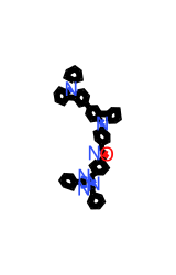 c1ccc(-c2nc(-c3ccccc3)nc(-c3ccc4oc(-c5ccc(-n6c7ccccc7c7cc(-c8ccc9c(c8)c8ccccc8n9-c8ccccc8)ccc76)cc5)nc4c3)n2)cc1